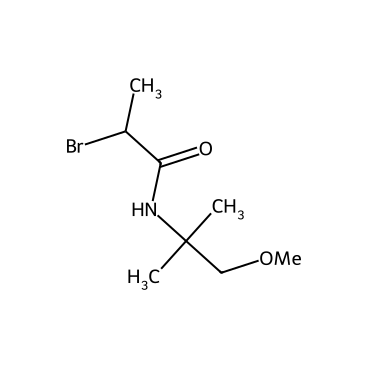 COCC(C)(C)NC(=O)C(C)Br